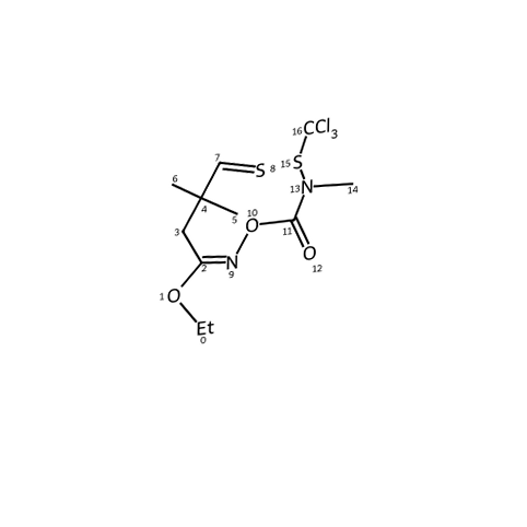 CCOC(CC(C)(C)C=S)=NOC(=O)N(C)SC(Cl)(Cl)Cl